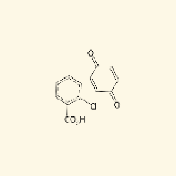 O=C(O)c1ccccc1Cl.O=C1C=CC(=O)C=C1